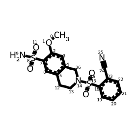 COc1cc2c(cc1S(N)(=O)=O)CCN(S(=O)(=O)c1ccccc1C#N)C2